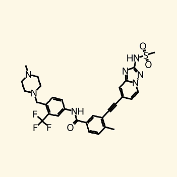 Cc1ccc(C(=O)Nc2ccc(CN3CCN(C)CC3)c(C(F)(F)F)c2)cc1C#Cc1ccn2nc(NS(C)(=O)=O)nc2c1